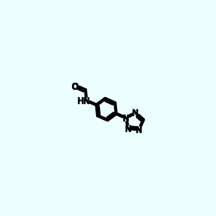 O=CNc1ccc(-n2ncnn2)cc1